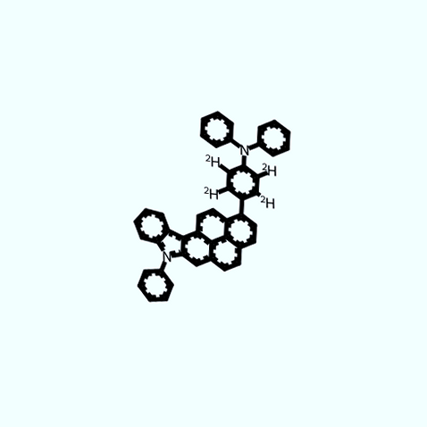 [2H]c1c([2H])c(N(c2ccccc2)c2ccccc2)c([2H])c([2H])c1-c1ccc2ccc3cc4c(c5ccc1c2c35)c1ccccc1n4-c1ccccc1